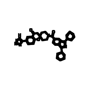 O=C1CC2(CCN(C(=O)c3ccc4c(-c5ccccc5)nn(-c5ccccc5)c4c3)CC2)Oc2ccc(-c3nnn[nH]3)cc21